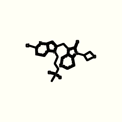 CS(=O)(=O)CCCn1c(Cn2c(=O)n(C3COC3)c3ccncc32)cc2nc(Cl)ccc21